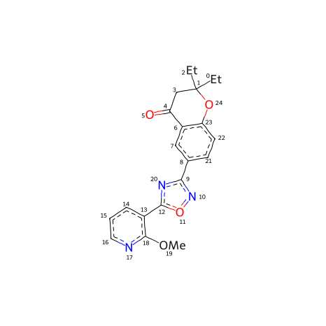 CCC1(CC)CC(=O)c2cc(-c3noc(-c4cccnc4OC)n3)ccc2O1